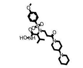 COc1ccc(S(=O)(=O)N(CCC(=O)N2CCC(N3CCCCC3)CC2)C(C(=O)NO)C(C)C)cc1